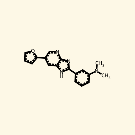 CN(C)c1cccc(-c2nc3ncc(-c4ccco4)cc3[nH]2)c1